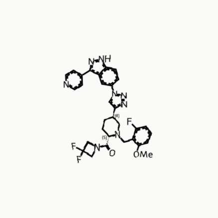 COc1cccc(F)c1CN1C[C@H](c2cn(-c3ccc4[nH]nc(-c5ccncc5)c4c3)nn2)CC[C@H]1C(=O)N1CC(F)(F)C1